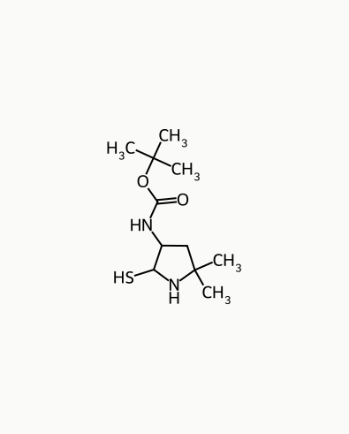 CC1(C)CC(NC(=O)OC(C)(C)C)C(S)N1